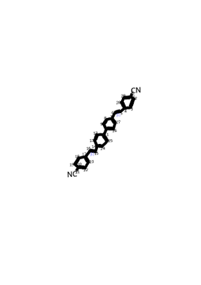 N#Cc1ccc(/C=C/c2ccc(-c3ccc(/C=C/c4ccc(C#N)cc4)cc3)cc2)cc1